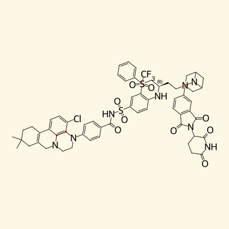 CC1(C)CCC(c2ccc(Cl)cc2)=C(CN2CCN(c3ccc(C(=O)NS(=O)(=O)c4ccc(N[C@H](CCN5CC6CC(C5)N6Cc5ccc6c(c5)C(=O)N(C5CCC(=O)NC5=O)C6=O)CSc5ccccc5)c(S(=O)(=O)C(F)(F)F)c4)cc3)CC2)C1